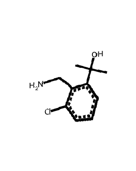 CC(C)(O)c1cccc(Cl)c1CN